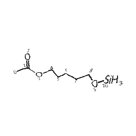 CC(=O)OCCCCCO[SiH3]